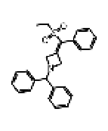 CCS(=O)(=O)C(=C1CN(C(c2ccccc2)c2ccccc2)C1)c1ccccc1